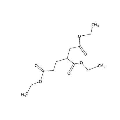 CCOC(=O)CCC(CC(=O)OCC)C(=O)OCC